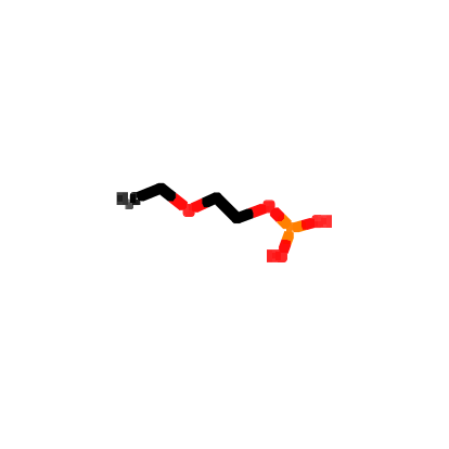 CCOCCOP(O)O